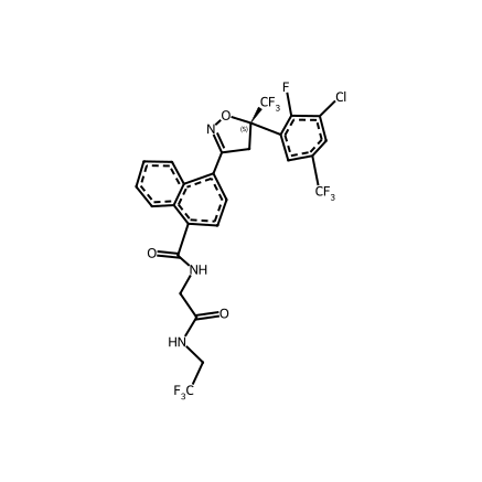 O=C(CNC(=O)c1ccc(C2=NO[C@@](c3cc(C(F)(F)F)cc(Cl)c3F)(C(F)(F)F)C2)c2ccccc12)NCC(F)(F)F